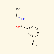 CC(=O)OCNC(=O)c1cccc(C)c1